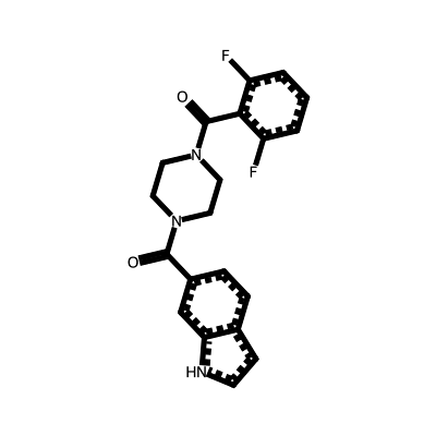 O=C(c1ccc2cc[nH]c2c1)N1CCN(C(=O)c2c(F)cccc2F)CC1